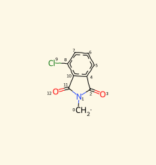 [CH2]N1C(=O)c2cccc(Cl)c2C1=O